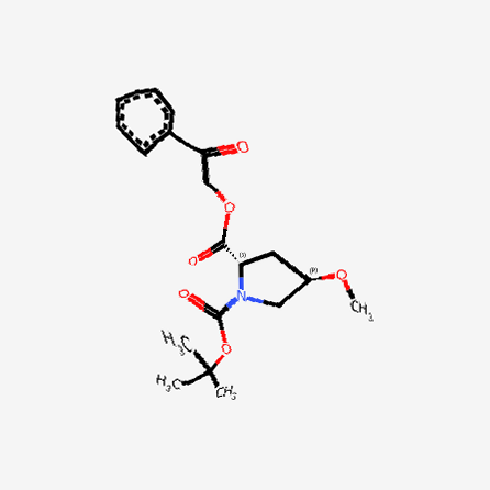 CO[C@@H]1C[C@@H](C(=O)OCC(=O)c2ccccc2)N(C(=O)OC(C)(C)C)C1